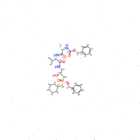 CC(C)[C@H](NC(=O)[C@H](C)NC(=O)OCc1ccccc1)C(=O)NC[C@@H](O)CP(=O)(CC1CCCCC1)OCc1ccccc1